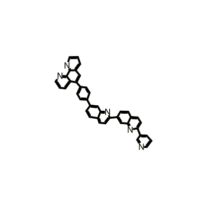 c1cncc(-c2ccc3ccc(-c4ccc5ccc(-c6ccc(-c7cc8cccnc8c8ncccc78)cc6)cc5n4)cc3n2)c1